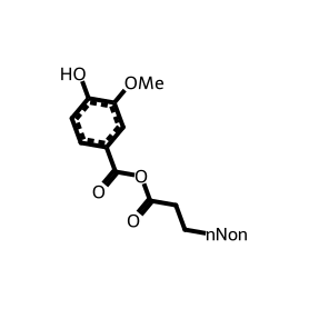 CCCCCCCCCCCC(=O)OC(=O)c1ccc(O)c(OC)c1